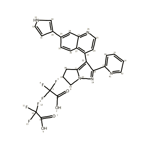 O=C(O)C(F)(F)F.O=C(O)C(F)(F)F.c1ccc(-c2nn3c(c2-c2ccnc4cc(-c5cc[nH]c5)ccc24)CCC3)nc1